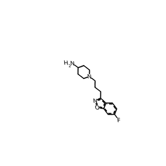 NC1CCN(CCCc2noc3cc(F)ccc23)CC1